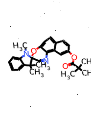 CN1c2ccccc2C(C)(C)C12C=Nc1c(ccc3ccc(OC(=O)C(C)(C)C)cc13)O2